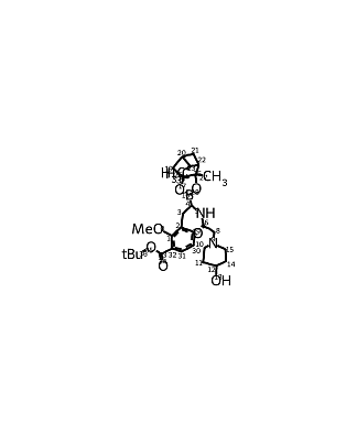 COc1c(CC(NC(=O)CN2CCC(O)CC2)B2OC3CC4CC(C4(C)C)C3(C)O2)cccc1C(=O)OC(C)(C)C